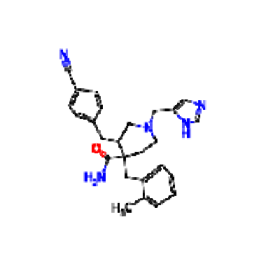 Cc1ccccc1CC1(C(N)=O)CCN(Cc2cnc[nH]2)CC1Cc1ccc(C#N)cc1